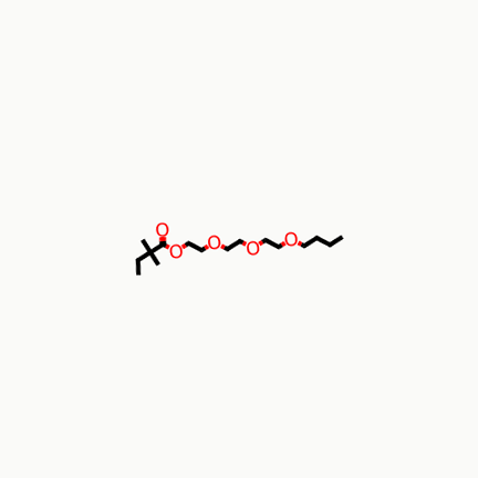 CCCCOCCOCCOCCOC(=O)C(C)(C)CC